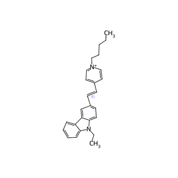 CCCCC[n+]1ccc(/C=C/c2ccc3c(c2)c2ccccc2n3CC)cc1